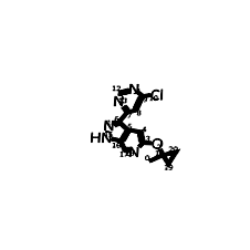 CC1(Oc2cc3c(-c4cc(Cl)ncn4)n[nH]c3cn2)CC1